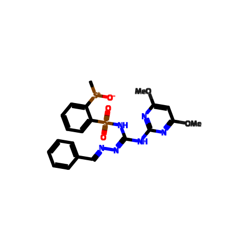 COc1cc(OC)nc(NC(=NN=Cc2ccccc2)NS(=O)(=O)c2ccccc2[S+](C)[O-])n1